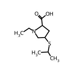 CCN1CC(SC(C)C)CC1C(=O)O